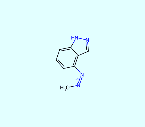 C/N=N\c1cccc2[nH]ncc12